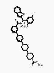 COc1ccc(F)cc1C(NC(=O)c1cccc(-c2ccc(N3CCC(N4CCN(C(=O)OC(C)(C)C)CC4)CC3)cc2)c1)c1cc2ccccc2[nH]1